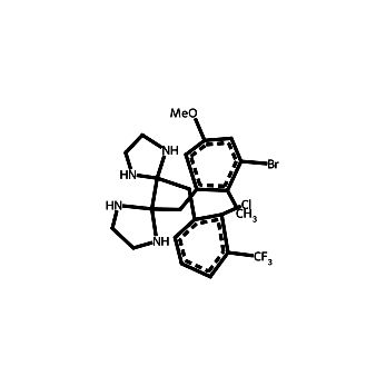 COc1cc(Br)c(C)c(CC2(C3(Cc4cccc(C(F)(F)F)c4Cl)NCCN3)NCCN2)c1